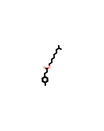 Cc1ccc(CCC(=O)OCCCCCCCC(C)C)cc1